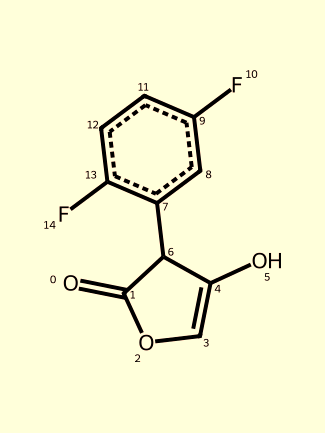 O=C1OC=C(O)C1c1cc(F)ccc1F